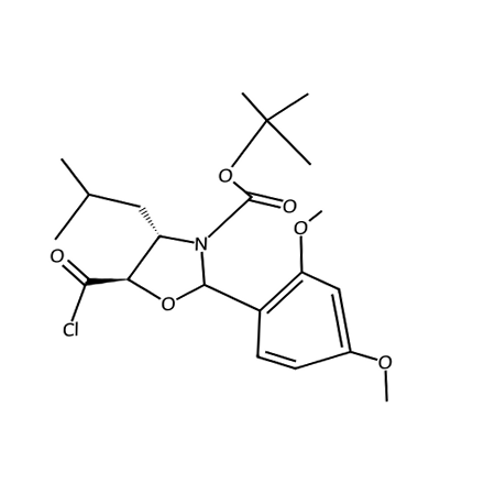 COc1ccc(C2O[C@@H](C(=O)Cl)[C@H](CC(C)C)N2C(=O)OC(C)(C)C)c(OC)c1